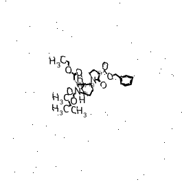 CCOC(=O)C[C@@H]1[C@@H]2C[C@@H](CC[C@@H]2N2CC[C@H](C(=O)OCc3ccccc3)C2=O)N1C(=O)OC(C)(C)C